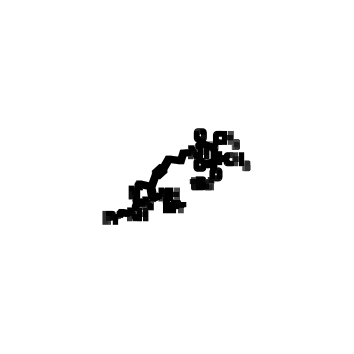 CCCNc1nc(NCC(C)C)ncc1C#CCCCNC(=O)[C@H](C)N(C)C(=O)OC(C)(C)C